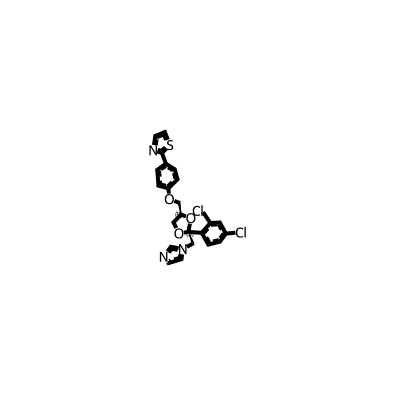 Clc1ccc([C@]2(Cn3ccnc3)OC[C@@H](COc3ccc(-c4nccs4)cc3)O2)c(Cl)c1